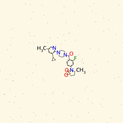 Cc1cnc(N2CCN(C(=O)c3ccc(N4[C@H](C)CCS4(=O)=O)cc3F)CC2)c(C2CC2)c1